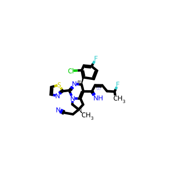 CC(F)C/C=C\C(=N)C1=C2C[C@@](C)(CC#N)CN2C(c2nccs2)=N[C@H]1c1ccc(F)cc1Cl